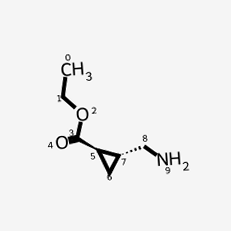 CCOC(=O)[C@@H]1C[C@H]1CN